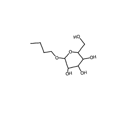 CCCCOC1OC(CO)C(O)C(O)C1O